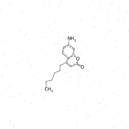 CCCCCCc1cc(=O)oc2cc(N)ccc12